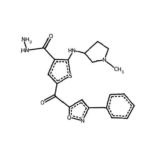 CN1CCC(Nc2sc(C(=O)c3cc(-c4ccccc4)no3)cc2C(=O)NN)C1